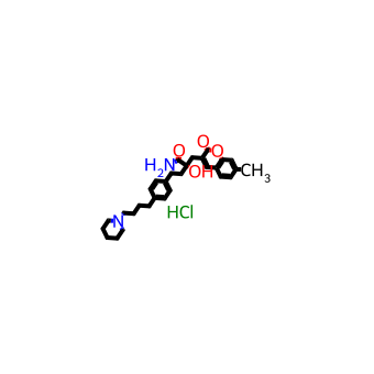 Cc1ccc2cc(CC(O)(CCc3ccc(CCCCN4CCCCC4)cc3)C(N)=O)c(=O)oc2c1.Cl